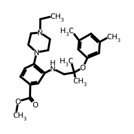 CCN1CCN(c2ccc(C(=O)OC)cc2NCC(C)(C)Oc2cc(C)cc(C)c2)CC1